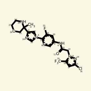 CC1(c2cn(-c3ncc(NC(=O)Cn4nc(Cl)cc4C(F)(F)F)cc3F)cn2)COCCN1